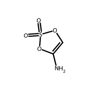 NC1=COS(=O)(=O)O1